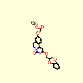 CC(C)(C)OC(=O)COc1ccc2c(c1)CCn1c-2cc(OCC2COc3ccccc3O2)nc1=O